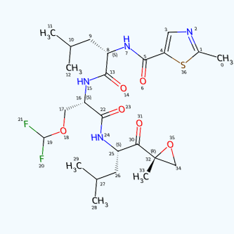 Cc1ncc(C(=O)N[C@@H](CC(C)C)C(=O)N[C@@H](COC(F)F)C(=O)N[C@@H](CC(C)C)C(=O)[C@@]2(C)CO2)s1